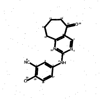 N#Cc1cc(Nc2ncc3c(n2)CCCCC3=O)ccc1Cl